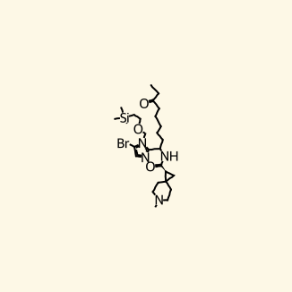 CCC(=O)CCCCCC(NC(=O)[C@H]1CC12CCN(C)CC2)c1ncc(Br)n1COCC[Si](C)(C)C